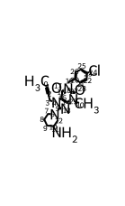 CC#CCn1c(N2CCC[C@@H](N)C2)nc2c1c(=O)n(Cc1ccc(Cl)cc1)c(=O)n2C